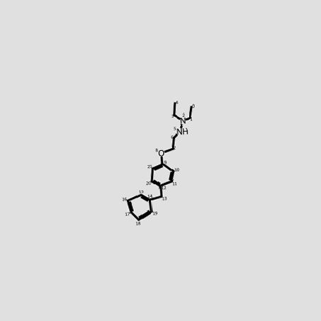 CCN(CC)NCCOc1ccc(Cc2ccccc2)cc1